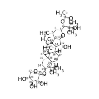 CC(=O)O[C@@H]([C@H]1C[C@@H](C)C2C(O1)[C@H](O)[C@@]1(C)[C@@H]3CC[C@H]4C(C)(C)[C@@H](O[C@@H]5OC[C@@H](O)[C@H](O)[C@H]5O)CC[C@@]45C[C@@]35CC[C@]21C)C(C)(C)O